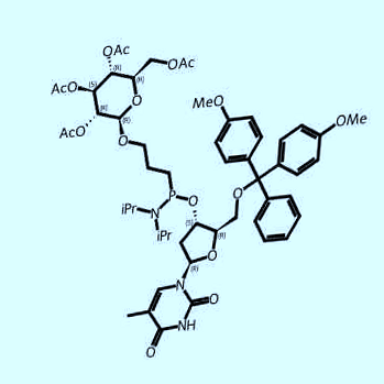 COc1ccc(C(OC[C@H]2O[C@@H](n3cc(C)c(=O)[nH]c3=O)C[C@@H]2OP(CCCO[C@@H]2O[C@H](COC(C)=O)[C@@H](OC(C)=O)[C@H](OC(C)=O)[C@H]2OC(C)=O)N(C(C)C)C(C)C)(c2ccccc2)c2ccc(OC)cc2)cc1